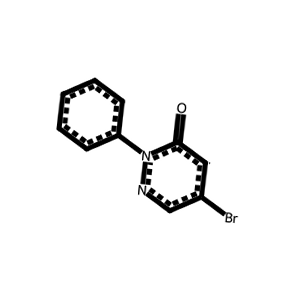 O=c1[c]c(Br)cnn1-c1ccccc1